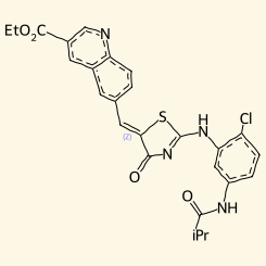 CCOC(=O)c1cnc2ccc(/C=C3\SC(Nc4cc(NC(=O)C(C)C)ccc4Cl)=NC3=O)cc2c1